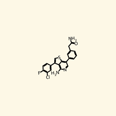 NC(=O)Cc1cccc(-c2cnc(N)c3c(-c4ccc(F)c(Cl)c4)csc23)c1